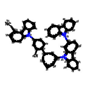 N#Cc1cc(-n2c3ccccc3c3c(C#N)cccc32)ccc1-c1cccc(-n2c3ccccc3c3ccc(-n4c5ccccc5c5ccccc54)cc32)c1